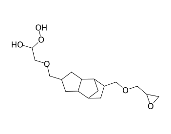 OOC(O)COCC1CC2C3CC(COCC4CO4)C(C3)C2C1